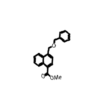 COC(=O)c1ccc(COCc2ccccc2)c2ccccc12